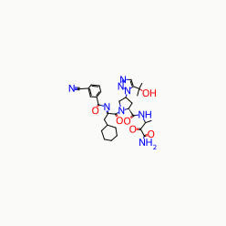 CC(NC(=O)[C@@H]1C[C@H](n2nncc2C(C)(C)O)CN1C(=O)/C(CC1CCCCC1)=N/C(=O)c1cccc(C#N)c1)C(=O)C(N)=O